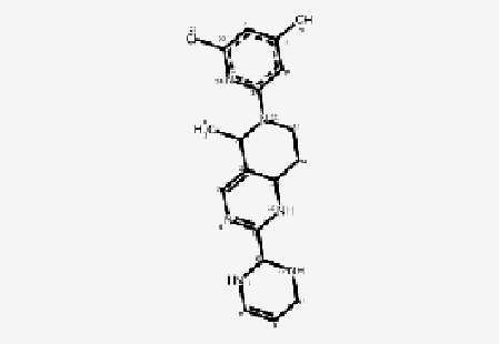 CC1C2=CN=C(C3NC=CCN3)NC2CCN1c1cc(O)cc(Cl)n1